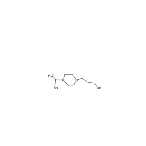 CC(S)N1CCN(CCCO)CC1